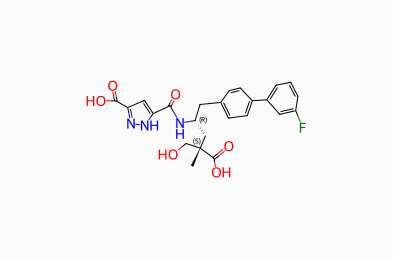 C[C@@](CO)(C[C@@H](Cc1ccc(-c2cccc(F)c2)cc1)NC(=O)c1cc(C(=O)O)n[nH]1)C(=O)O